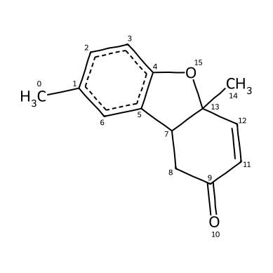 Cc1ccc2c(c1)C1CC(=O)C=CC1(C)O2